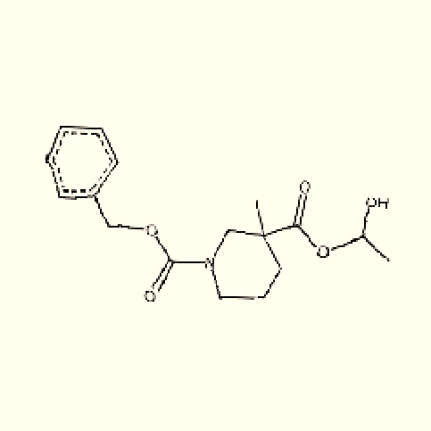 CC(O)OC(=O)C1(C)CCCN(C(=O)OCc2ccccc2)C1